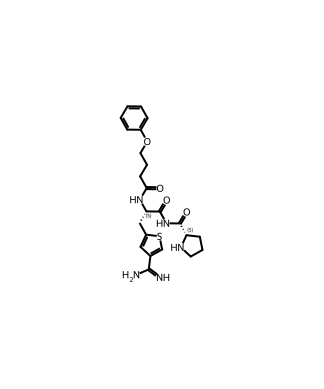 N=C(N)c1csc(C[C@H](NC(=O)CCCOc2ccccc2)C(=O)NC(=O)[C@@H]2CCCN2)c1